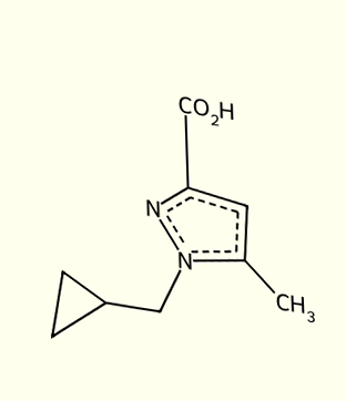 Cc1cc(C(=O)O)nn1CC1CC1